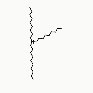 CCCCCCCCCCN(CCCCCCCCC)CCCCCCCCC